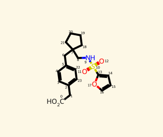 O=C(O)Cc1ccc(CC2(CNS(=O)(=O)c3ccco3)CCCC2)cc1